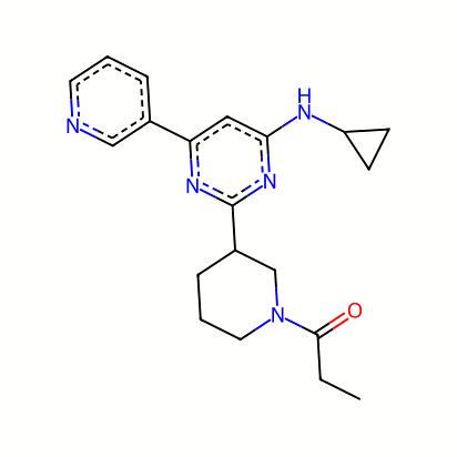 CCC(=O)N1CCCC(c2nc(NC3CC3)cc(-c3cccnc3)n2)C1